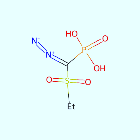 CCS(=O)(=O)C(=[N+]=[N-])P(=O)(O)O